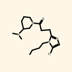 CCCCn1c(Cl)cnc1CCC(=O)N1CCCC(N(C)C)C1